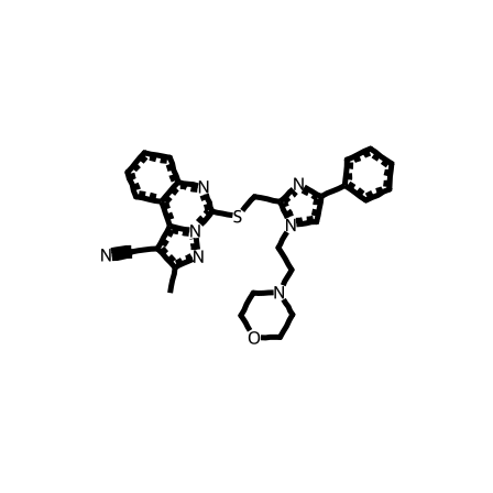 Cc1nn2c(SCc3nc(-c4ccccc4)cn3CCN3CCOCC3)nc3ccccc3c2c1C#N